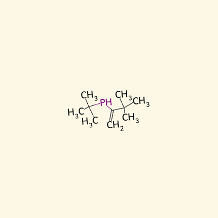 C=C(PC(C)(C)C)C(C)(C)C